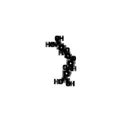 O=C(Nc1ccc(C(=O)c2ccc(NC(=O)c3ccc(N(CCO)CCO)cc3)cc2)cc1)c1ccc(N(CCO)CCO)cc1